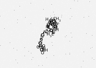 COc1cc(N2CCN(CC3CCN(C4CN(c5ccc6c(c5)C(=O)N(C5CCC(=O)NC5=O)C6=O)C4)CC3)CC2)c(-c2cnn(C)c2)cc1Nc1ncc(Br)c(Nc2ccc(C)c(C)c2P(C)(C)=O)n1